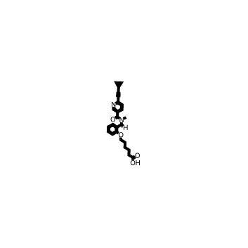 [2H]C(c1ccccc1OCCCCCC(=O)O)N(C)C(=O)c1ccc(C#CC2CC2)nc1